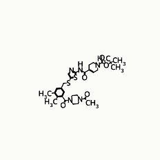 CC(=O)N1CCN(C(=O)c2cc(CSc3cnc(NC(=O)C4=CCN(C(=O)OC(C)(C)C)CC4)s3)cc(C)c2C)CC1